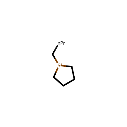 CCCC[S+]1CCCC1